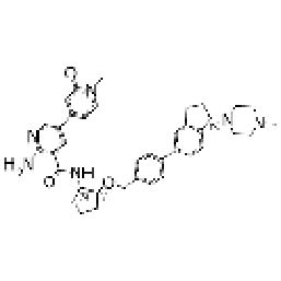 CN1CCN([C@H]2CCc3cc(-c4ccc(CO[C@H]5CCC[C@@H]5NC(=O)c5cc(-c6ccn(C)c(=O)c6)cnc5N)cc4)ccc32)CC1